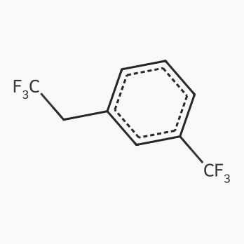 FC(F)(F)Cc1cccc(C(F)(F)F)c1